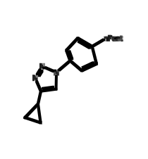 CCCCCc1ccc(-n2cc(C3CC3)nn2)cc1